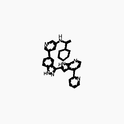 C=C(Nc1cncc(-c2ccc3[nH]nc(-c4cc5c(-c6ccccn6)ccnc5[nH]4)c3c2)c1)C1CCCCC1